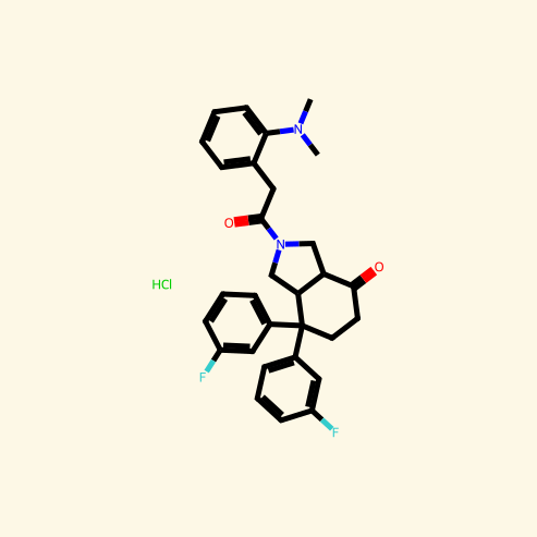 CN(C)c1ccccc1CC(=O)N1CC2C(=O)CCC(c3cccc(F)c3)(c3cccc(F)c3)C2C1.Cl